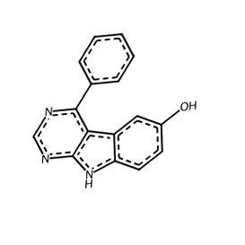 Oc1ccc2[nH]c3ncnc(-c4ccccc4)c3c2c1